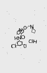 CN(CCOc1cc(C(=O)Nc2cc(Cl)cc(Cl)c2)on1)C1CCC1.Cl